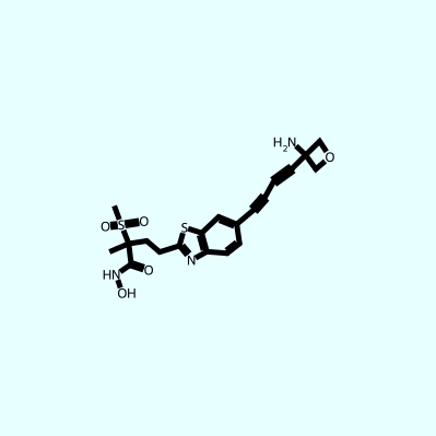 CC(CCc1nc2ccc(C#CC#CC3(N)COC3)cc2s1)(C(=O)NO)S(C)(=O)=O